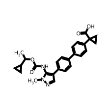 CC(OC(=O)Nc1c(-c2ccc(-c3ccc(C4(C(=O)O)CC4)cc3)cc2)cnn1C)C1CC1